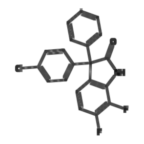 O=C1Nc2c(ccc(F)c2F)C1(c1cc[c]cc1)c1ccc(Cl)cc1